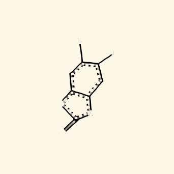 O=c1[nH]c2cc(F)c(Br)cc2s1